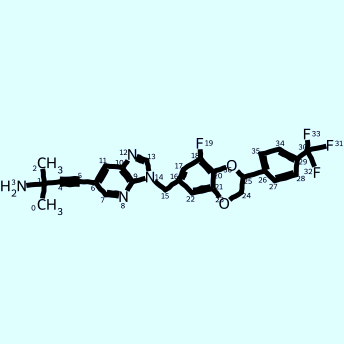 CC(C)(N)C#Cc1cnc2c(c1)ncn2Cc1cc(F)c2c(c1)OCC(c1ccc(C(F)(F)F)cc1)O2